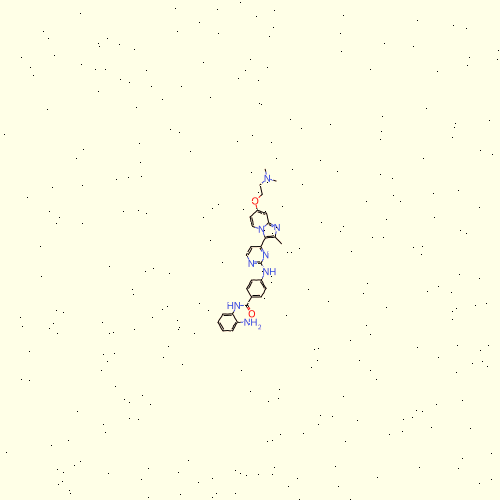 Cc1nc2cc(OCCN(C)C)ccn2c1-c1ccnc(Nc2ccc(C(=O)Nc3ccccc3N)cc2)n1